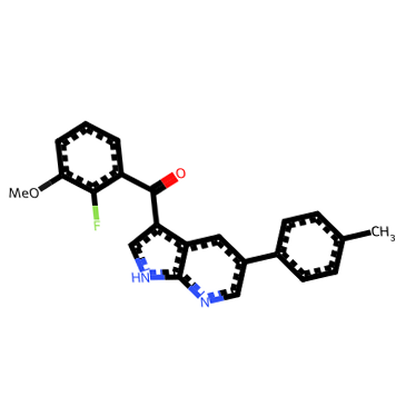 COc1cccc(C(=O)c2c[nH]c3ncc(-c4ccc(C)cc4)cc23)c1F